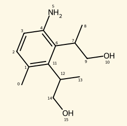 Cc1ccc(N)c(C(C)CO)c1C(C)CO